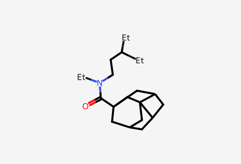 CCC(CC)CCN(CC)C(=O)C12CC3CC4CC(C1)C4(C3)C2